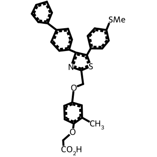 CSc1ccc(-c2sc(COc3ccc(OCC(=O)O)c(C)c3)nc2-c2ccc(-c3ccccc3)cc2)cc1